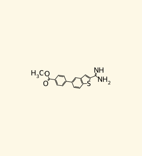 COC(=O)c1ccc(-c2ccc3sc(C(=N)N)cc3c2)cc1